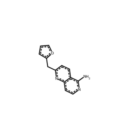 Nc1nccc2nc(Cc3ccco3)ccc12